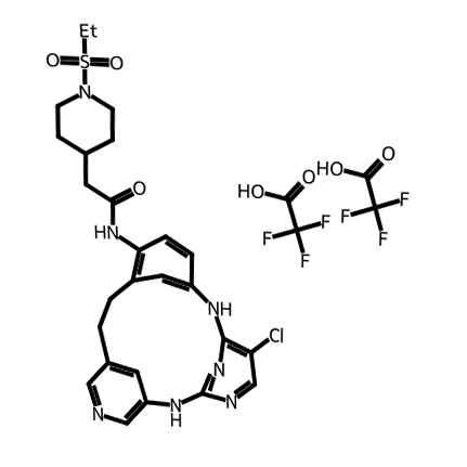 CCS(=O)(=O)N1CCC(CC(=O)Nc2ccc3cc2CCc2cncc(c2)Nc2ncc(Cl)c(n2)N3)CC1.O=C(O)C(F)(F)F.O=C(O)C(F)(F)F